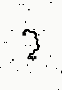 CC/C=C\C/C=C\CCC/C=C\CCCC(=O)O